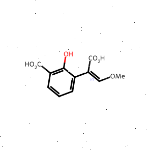 CO/C=C(\C(=O)O)c1c[c]cc(C(=O)O)c1O